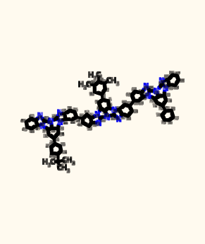 Cc1cc(-c2cc3c4c(c2)n2c5cc(-c6ccc7nc8n(c7c6)c6cc(-c7ccc(C(C)(C)C)cc7)cc7c6n8c6nc8ccccc8n76)ccc5nc2n4c2nc4ccc(-c5ccc6nc7n(c6c5)c5cc(-c6ccccc6)cc6c5n7c5nc7ccccc7n65)cc4n32)cc(C)c1C